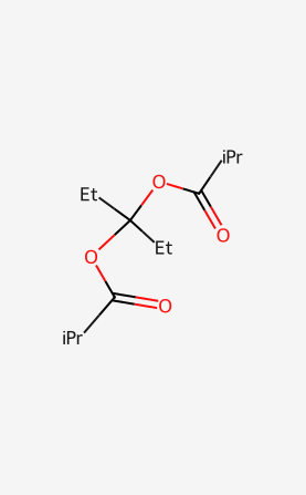 CCC(CC)(OC(=O)C(C)C)OC(=O)C(C)C